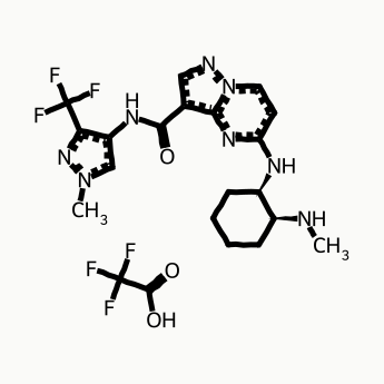 CN[C@H]1CCCC[C@H]1Nc1ccn2ncc(C(=O)Nc3cn(C)nc3C(F)(F)F)c2n1.O=C(O)C(F)(F)F